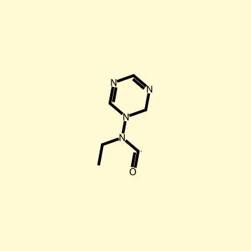 CCN([C]=O)N1C=NC=NC1